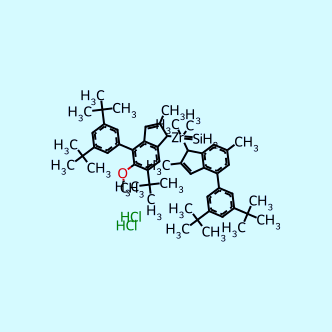 COc1c(C(C)(C)C)cc2c(c1-c1cc(C(C)(C)C)cc(C(C)(C)C)c1)C=C(C)[CH]2[Zr]([CH3])([CH3])(=[SiH2])[CH]1C(C)=Cc2c(-c3cc(C(C)(C)C)cc(C(C)(C)C)c3)cc(C)cc21.Cl.Cl